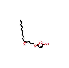 CCCCCCCCCC1OC1CCCOC(=O)/C=C\C(=O)O